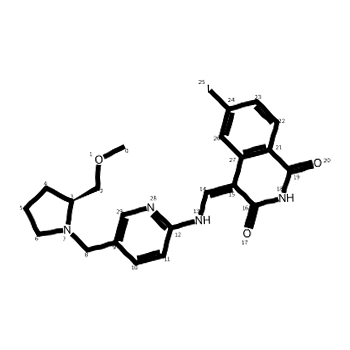 COC[C@@H]1CCCN1Cc1ccc(NC=C2C(=O)NC(=O)c3ccc(I)cc32)nc1